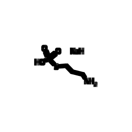 NCCCSS(=O)(=O)O.[NaH]